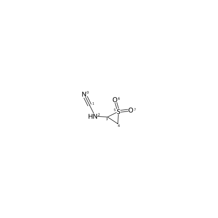 N#CNC1CS1(=O)=O